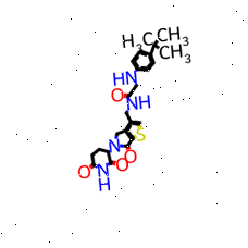 CC(C)(C)c1ccc(NCC(=O)NCc2csc3c2CN([C@H]2CCC(=O)NC2=O)C3=O)cc1